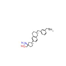 BCc1cccc(C[C@@H]2CCc3cc([C@H]4CC[C@](N)(CO)C4)ccc3C2)c1